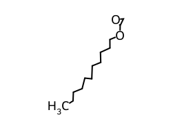 CCCCCCCCCCCOC1CO1